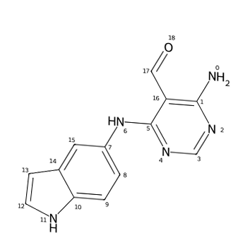 Nc1ncnc(Nc2ccc3[nH]ccc3c2)c1C=O